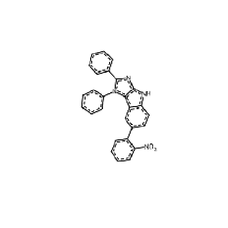 O=[N+]([O-])c1ccccc1-c1ccc2[nH]c3nc(-c4ccccc4)n(-c4ccccc4)c3c2c1